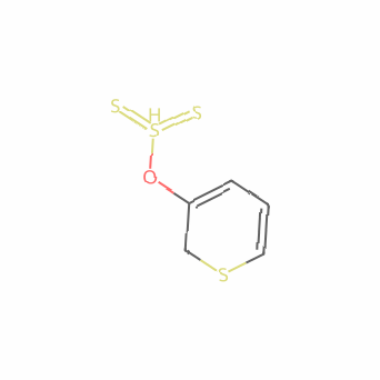 S=[SH](=S)OC1=CC=CSC1